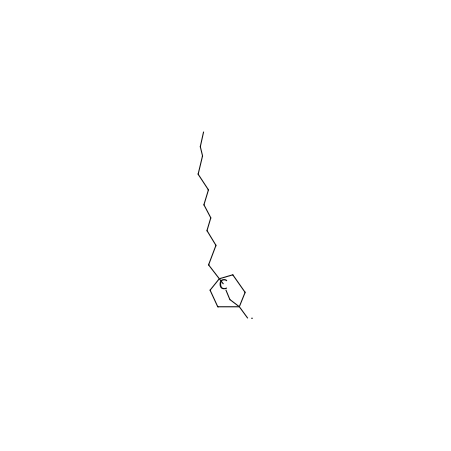 [CH2]C12CCC(CCCCCCCCCC)(CC1)CC2